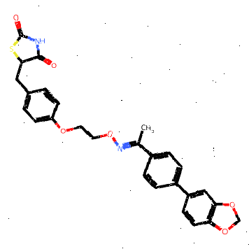 CC(=NOCCOc1ccc(CC2SC(=O)NC2=O)cc1)c1ccc(-c2ccc3c(c2)OCO3)cc1